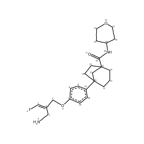 NC/C(=C\F)COc1ccc(C23CCCC(C(=O)NC4CCOCC4)(CC2)C3)cc1